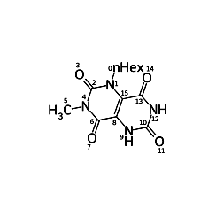 CCCCCCn1c(=O)n(C)c(=O)c2[nH]c(=O)[nH]c(=O)c21